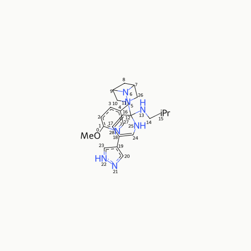 COc1ccc(CN2C3CC2CN(C2(NCC(C)C)C=CC(c4cn[nH]c4)=CN2)C3)cn1